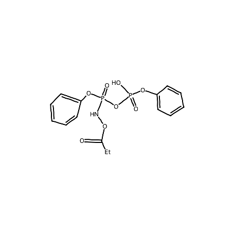 CCC(=O)ONP(=O)(Oc1ccccc1)OP(=O)(O)Oc1ccccc1